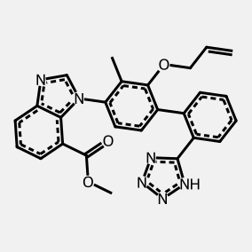 C=CCOc1c(-c2ccccc2-c2nnn[nH]2)ccc(-n2cnc3cccc(C(=O)OC)c32)c1C